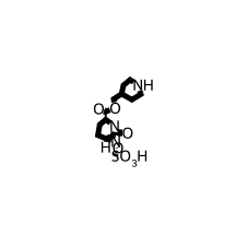 O=C(OCC1CCNCC1)[C@@H]1CC[C@@H]2CN1C(=O)N2OS(=O)(=O)O